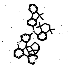 CC1(C)CCC(C)(C)c2c(N(c3ccc4c(c3)C(C)(C)c3ccccc3-4)c3ccc4c(c3)C3(c5c(cccc5-c5ccccc5)O4)C4CC5CC6CC3C64C5)cccc21